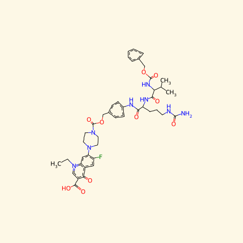 CCn1cc(C(=O)O)c(=O)c2cc(F)c(N3CCN(C(=O)OCc4ccc(NC(=O)C(CCCNC(N)=O)NC(=O)C(NC(=O)OCc5ccccc5)C(C)C)cc4)CC3)cc21